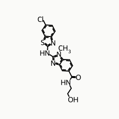 Cn1c(Nc2nc3ccc(Cl)cc3s2)nc2cc(C(=O)NCCO)ccc21